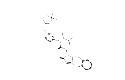 CCC(C)C[C@@H](C(=O)Nc1ccn(C[C@@H]2COC(C)(C)O2)n1)N1CC(Oc2ccccc2Cl)=CC1=O